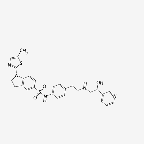 Cc1cnc(N2CCc3cc(S(=O)(=O)Nc4ccc(CCNCC(O)c5cccnc5)cc4)ccc32)s1